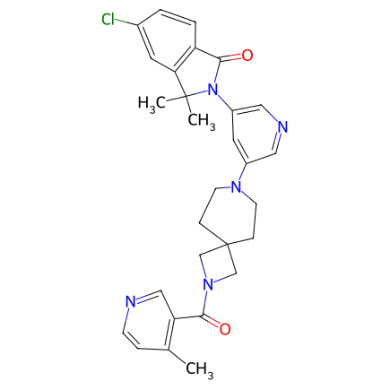 Cc1ccncc1C(=O)N1CC2(CCN(c3cncc(N4C(=O)c5ccc(Cl)cc5C4(C)C)c3)CC2)C1